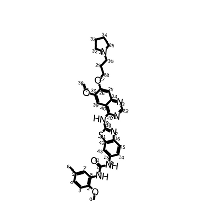 COc1ccc(C)cc1NC(=O)Nc1ccc2nc(Nc3ncnc4cc(OCCCN5CCCC5)c(OC)cc34)sc2c1